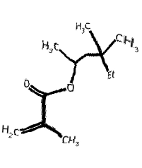 C=C(C)C(=O)OC(C)C(C)(C)CC